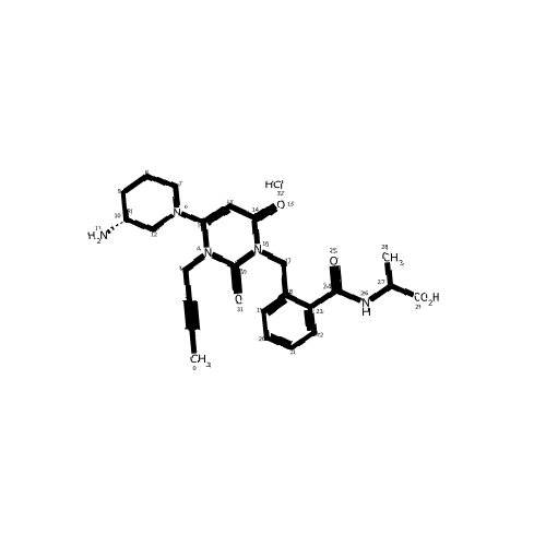 CC#CCn1c(N2CCC[C@@H](N)C2)cc(=O)n(Cc2ccccc2C(=O)NC(C)C(=O)O)c1=O.Cl